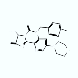 CC(C)(C)C1C(=O)N=C2c3ncc(N4CCOCC4)cc3N(Cc3ccc(Cl)cc3)C(=O)N21